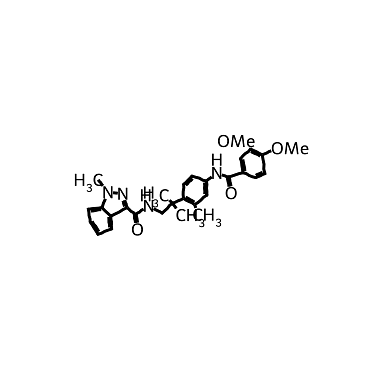 COc1ccc(C(=O)Nc2ccc(C(C)(C)CNC(=O)c3nn(C)c4ccccc34)c(C)c2)cc1OC